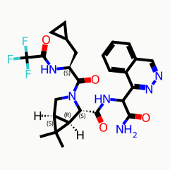 CC1(C)[C@@H]2[C@@H](C(=O)NC(C(N)=O)c3nncc4ccccc34)N(C(=O)[C@H](CC3CC3)NC(=O)C(F)(F)F)C[C@@H]21